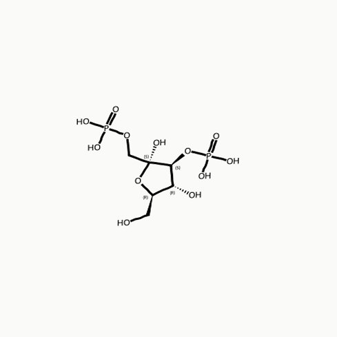 O=P(O)(O)OC[C@]1(O)O[C@H](CO)[C@@H](O)[C@@H]1OP(=O)(O)O